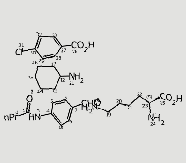 CCCC(=O)Nc1ccc(C=O)cc1.NC1CCCCC1.NCCCC[C@H](N)C(=O)O.O=C(O)c1ccc(Cl)cc1